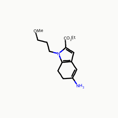 CCOC(=O)c1cc2c(n1CCCOC)CCC(N)=C2